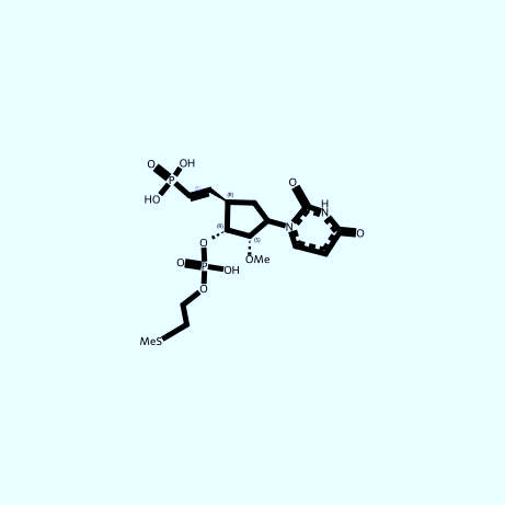 CO[C@H]1C(n2ccc(=O)[nH]c2=O)C[C@H](/C=C/P(=O)(O)O)[C@H]1OP(=O)(O)OCCSC